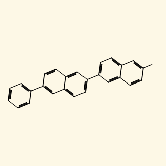 Clc1ccc2cc(-c3ccc4cc(-c5ccccc5)ccc4c3)ccc2c1